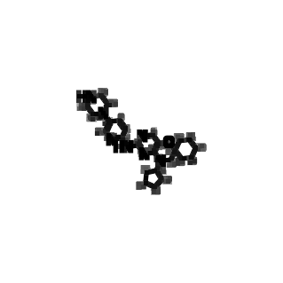 c1cc(Nc2ncc3c(n2)N(C2CCCC2)CC2(CCCCC2)O3)ncc1N1CCNCC1